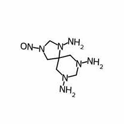 NN1CN(N)CC2(C1)CN(N=O)CN2N